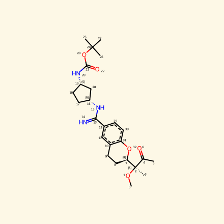 CO[C@](C)(C(C)=O)[C@H]1CCc2cc(C(=N)N[C@@H]3CC[C@H](NC(=O)OC(C)(C)C)C3)ccc2O1